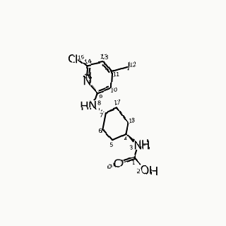 O=C(O)N[C@H]1CC[C@H](Nc2cc(I)cc(Cl)n2)CC1